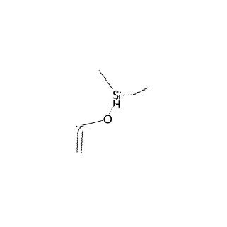 C=[C]O[SiH](C)C